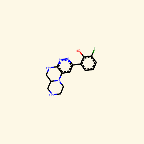 Oc1c(F)cccc1-c1cc2c(nn1)NCC1CNCCN21